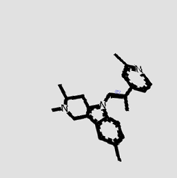 C/C(=C\n1c2c(c3cc(C)ccc31)CN(C)C(C)C2)c1ccnc(C)c1